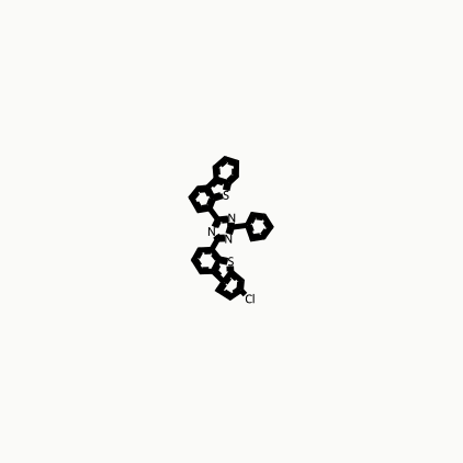 Clc1ccc2c(c1)sc1c(-c3nc(-c4ccccc4)nc(-c4cccc5c4sc4ccccc45)n3)cccc12